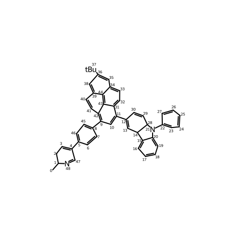 CC1CC=C(c2ccc(-c3cc(C4=CC5c6ccccc6N(c6ccccc6)C5C=C4)c4ccc5cc(C(C)(C)C)cc6ccc3c4c56)cc2)C=N1